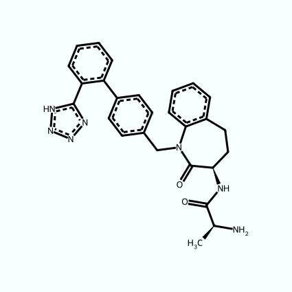 C[C@H](N)C(=O)N[C@@H]1CCc2ccccc2N(Cc2ccc(-c3ccccc3-c3nnn[nH]3)cc2)C1=O